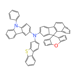 c1ccc(-n2c3ccccc3c3cc(N(c4ccc5c(c4)C4(c6ccccc6Oc6ccccc64)c4c-5ccc5ccccc45)c4ccc5c(c4)sc4ccccc45)ccc32)cc1